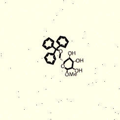 CO[C@H]1O[C@H](COC(c2ccccc2)(c2ccccc2)c2ccccc2)[C@H](O)[C@H](O)[C@H]1O